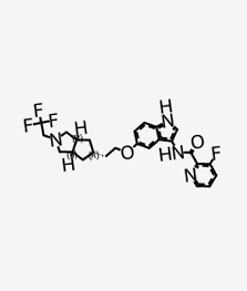 O=C(Nc1c[nH]c2ccc(OCC[C@@H]3C[C@@H]4CN(CC(F)(F)F)C[C@@H]4C3)cc12)c1ncccc1F